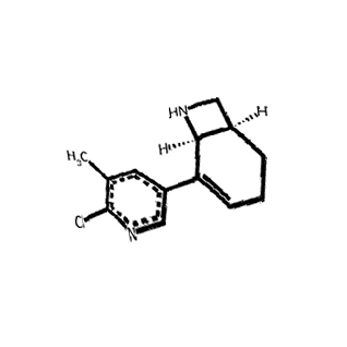 Cc1cc(C2=CCC[C@@H]3CN[C@H]23)cnc1Cl